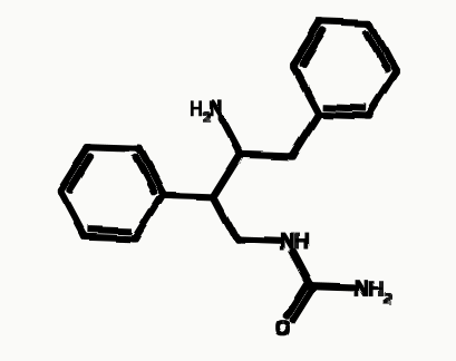 NC(=O)NCC(c1ccccc1)C(N)Cc1ccccc1